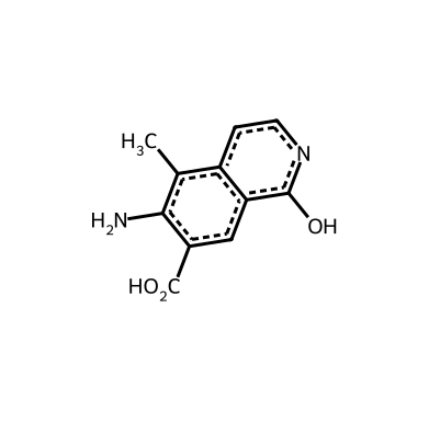 Cc1c(N)c(C(=O)O)cc2c(O)nccc12